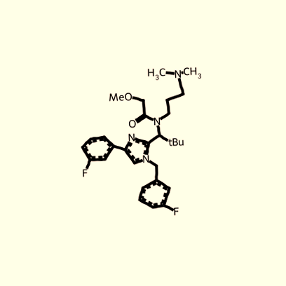 COCC(=O)N(CCCN(C)C)C(c1nc(-c2cccc(F)c2)cn1Cc1cccc(F)c1)C(C)(C)C